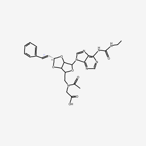 CCNC(=O)Nc1ncnc2c1ncn2C1OC(CN(CC(=O)O)C(C)=O)C2O[C@H](/C=C/c3ccccc3)OC21